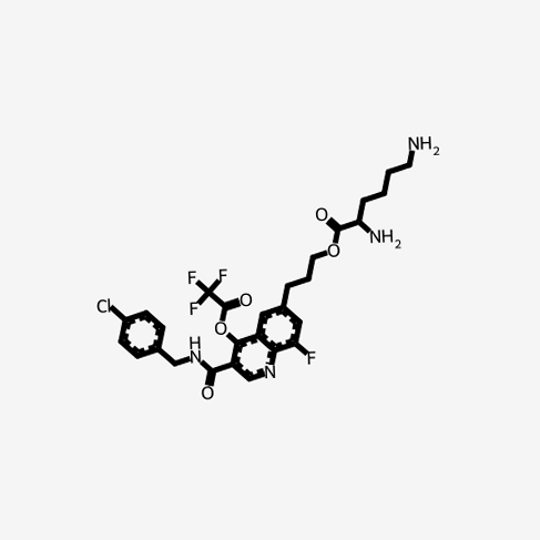 NCCCCC(N)C(=O)OCCCc1cc(F)c2ncc(C(=O)NCc3ccc(Cl)cc3)c(OC(=O)C(F)(F)F)c2c1